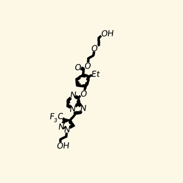 CCc1cc(Oc2nccn3c(-c4cn(CCO)nc4C(F)(F)F)cnc23)ccc1C(=O)OCCOCCO